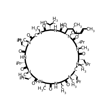 C/C=C/C[C@@H](C)[C@@H](O)[C@H]1C(=O)N[C@@H](C(C)O)C(=O)N(C)CC(=O)N(C)[C@@H](CC(C)C)C(=O)N[C@@H](C(C)C)C(=O)N(C)[C@@H](CC(C)C)C(=O)N[C@@H](C)C(=O)N[C@H](C)C(=O)N(C)[C@@H](CC(C)C)CN(C)[C@@H](CC(C)C)C(=O)N(C)[C@@H](C(C)C)C(=O)N1C